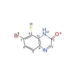 O=c1cnc2ccc(Br)c(F)c2[nH]1